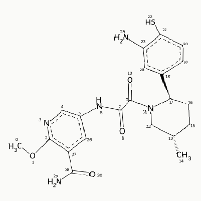 COc1ncc(NC(=O)C(=O)N2C[C@@H](C)CC[C@@H]2c2ccc(S)c(N)c2)cc1C(N)=O